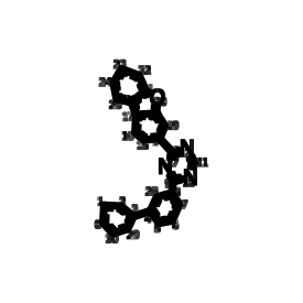 c1ccc(-c2cccc(-c3ncnc(-c4ccc5c(c4)oc4ccccc45)n3)c2)cc1